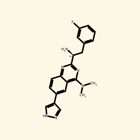 CN(C)c1nc([C@@H](N)Cc2cccc(F)c2)nc2ccc(-c3cn[nH]c3)cc12